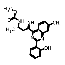 COC(=O)N[C@@H](C)CC(=N)c1nc(-c2ccccc2O)nc2cc(C)ccc12